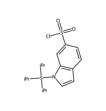 CC(C)S(C(C)C)(C(C)C)n1ccc2ccc(S(=O)(=O)Cl)cc21